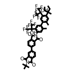 CCC(C)(CC)c1cc(C)c(-c2cc(C(O)(C(F)(F)F)C(F)(F)F)c(N3C(=O)c4ccc(-c5ccc6c(c5)C(=O)N(C(C)(C)C)C6=O)cc4C3=O)cc2C)cc1C(O)(C(F)(F)F)C(F)(F)F